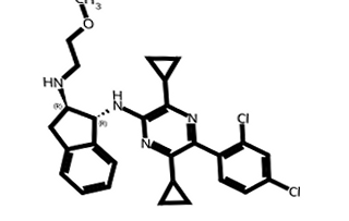 COCCN[C@@H]1Cc2ccccc2[C@H]1Nc1nc(C2CC2)c(-c2ccc(Cl)cc2Cl)nc1C1CC1